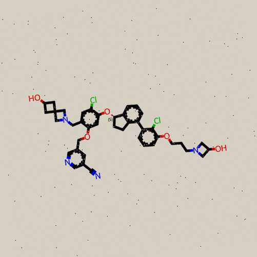 N#Cc1cncc(COc2cc(O[C@H]3CCc4c(-c5cccc(OCCCN6CC(O)C6)c5Cl)cccc43)c(Cl)cc2CN2CC3(CC(O)C3)C2)c1